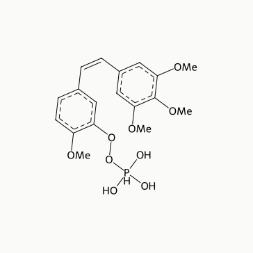 COc1ccc(/C=C\c2cc(OC)c(OC)c(OC)c2)cc1OO[PH](O)(O)O